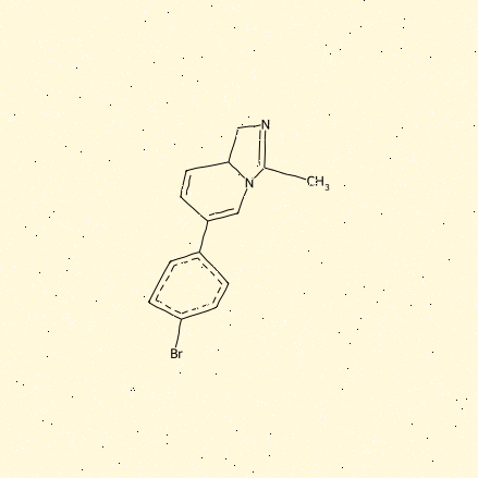 CC1=NCC2C=CC(c3ccc(Br)cc3)=CN12